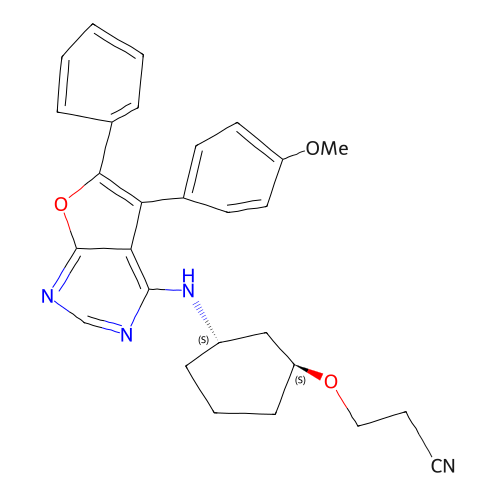 COc1ccc(-c2c(-c3ccccc3)oc3ncnc(N[C@H]4CCC[C@H](OCCC#N)C4)c23)cc1